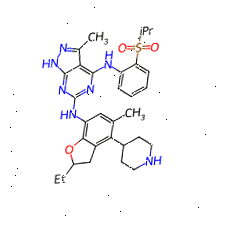 CCC1Cc2c(c(Nc3nc(Nc4ccccc4S(=O)(=O)C(C)C)c4c(C)n[nH]c4n3)cc(C)c2C2CCNCC2)O1